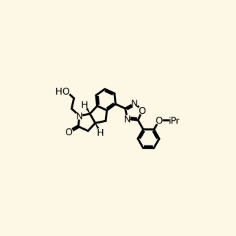 CC(C)Oc1ccccc1-c1nc(-c2cccc3c2C[C@@H]2CC(=O)N(CCO)[C@H]32)no1